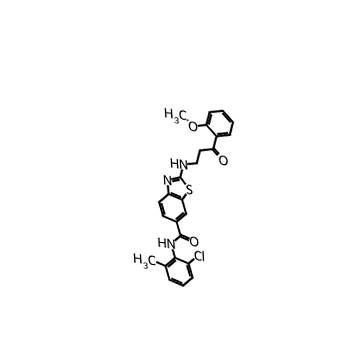 COc1ccccc1C(=O)CCNc1nc2ccc(C(=O)Nc3c(C)cccc3Cl)cc2s1